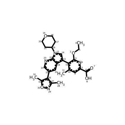 CCOc1nc(C(=O)O)cc(C)c1-c1cn(C2CCOCC2)c2ncc(-c3c(C)noc3C)cc12